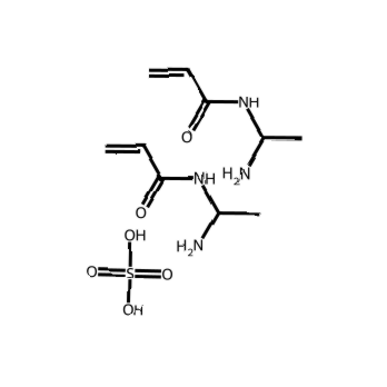 C=CC(=O)NC(C)N.C=CC(=O)NC(C)N.O=S(=O)(O)O